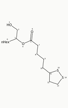 CCCCCCC(CO)OC(=O)CCCCC1CCSS1